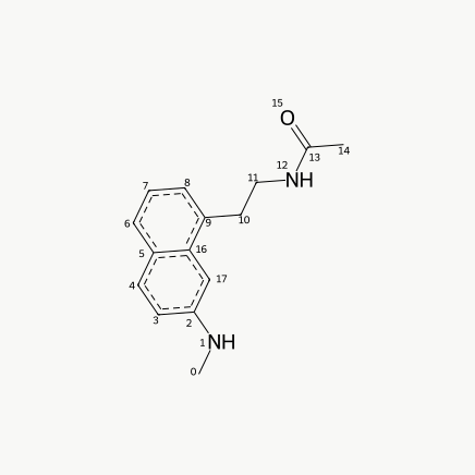 CNc1ccc2cccc(CCNC(C)=O)c2c1